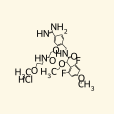 CCOC(C(=O)NCc1ccc(C(=N)N)cc1OCC(=O)NCCOC)c1c(F)cc(OC)cc1F.Cl